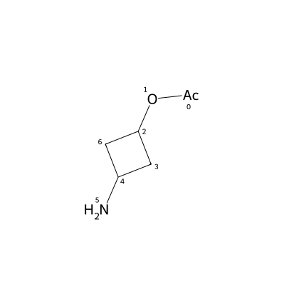 CC(=O)OC1CC(N)C1